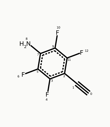 C#Cc1c(F)c(F)c(N)c(F)c1F